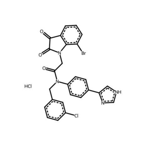 Cl.O=C1C(=O)N(CC(=O)N(Cc2cccc(Cl)c2)c2ccc(-c3c[nH]cn3)cc2)c2c(Br)cccc21